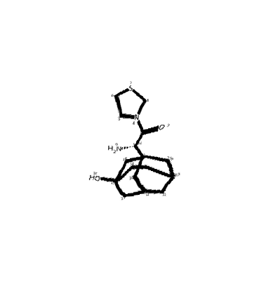 N[C@H](C(=O)N1CCSC1)C12CC3CC(CC(O)(C3)C1)C2